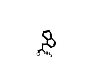 NC([C]=O)Cc1cccc2ccccc12